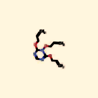 C=CCOC1=NC=NC(OCC=C)N1OCC=C